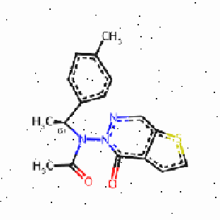 CC(=O)N([C@@H](C)c1ccc(C)cc1)n1ncc2sccc2c1=O